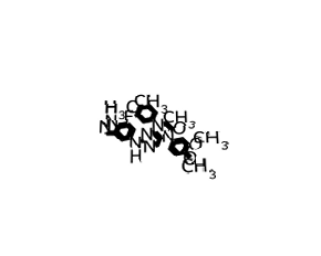 COc1ccc(N2C(=O)[C@@H](C)N(C3CCC(C)(C)CC3)c3nc(Nc4cc(F)c5[nH]ncc5c4)ncc32)cc1OC